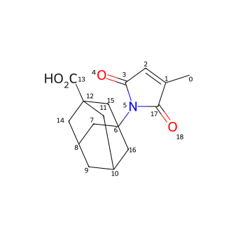 CC1=CC(=O)N(C23CC4CC(CC(C(=O)O)(C4)C2)C3)C1=O